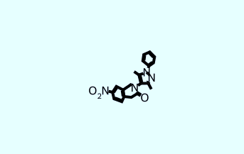 Cc1nn(-c2ccccc2)c(C)c1N1Cc2cc([N+](=O)[O-])ccc2CC1=O